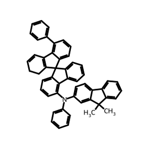 CC1(C)c2ccccc2-c2ccc(N(c3ccccc3)c3cccc4c3-c3ccccc3C43C4=C(C=CCC4)c4c(-c5ccccc5)cccc43)cc21